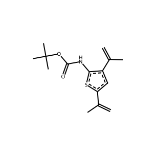 C=C(C)c1cc(C(=C)C)c(NC(=O)OC(C)(C)C)s1